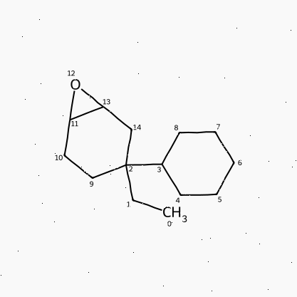 CCC1(C2CCCCC2)CCC2OC2C1